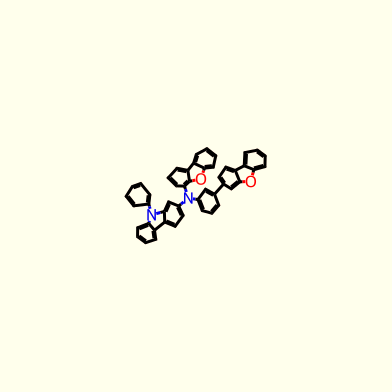 c1ccc(-n2c3ccccc3c3ccc(N(c4cccc(-c5ccc6c(c5)oc5ccccc56)c4)c4cccc5c4oc4ccccc45)cc32)cc1